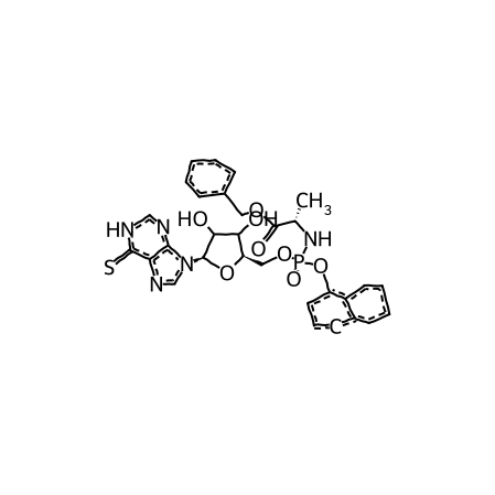 C[C@H](NP(=O)(OC[C@H]1O[C@@H](n2cnc3c(=S)[nH]cnc32)C(O)C1O)Oc1cccc2ccccc12)C(=O)OCc1ccccc1